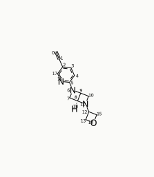 C#Cc1ccc(N2C[C@H]3C2CN3C2COC2)nc1